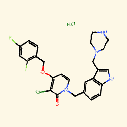 Cl.O=c1c(Cl)c(OCc2ccc(F)cc2F)ccn1Cc1ccc2[nH]cc(CN3CCNCC3)c2c1